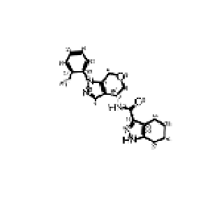 O=C(N[C@H]1COCc2c1cnn2-c1ccccc1F)c1n[nH]c2c1CCCC2